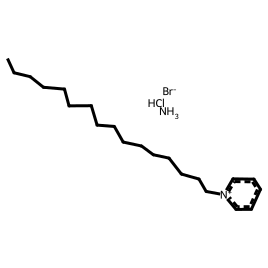 CCCCCCCCCCCCCCCC[n+]1ccccc1.Cl.N.[Br-]